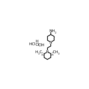 C[C@@H]1CCC[C@H](C)N1CCN1CCC(N)CC1.Cl.Cl.Cl